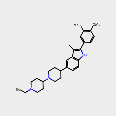 CCC(C)CN1CCC(N2CCC(c3ccc4[nH]c(-c5ccc(OC)c(OC)c5)c(C)c4c3)CC2)CC1